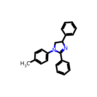 Cc1ccc(N2CC(c3ccccc3)N=C2c2ccccc2)cc1